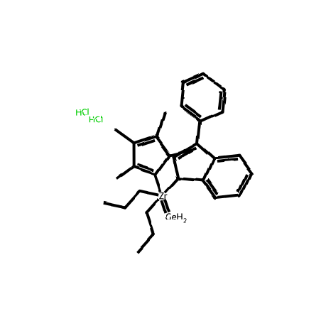 CC[CH2][Zr](=[GeH2])([CH2]CC)([C]1=C(C)C(C)=C(C)C1C)[CH]1C=C(c2ccccc2)c2ccccc21.Cl.Cl